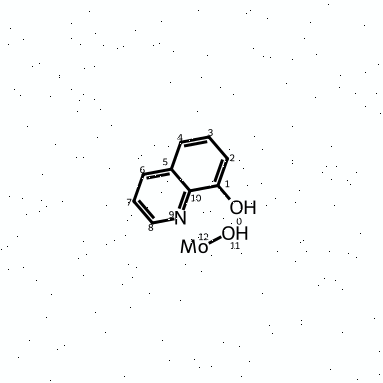 Oc1cccc2cccnc12.[OH][Mo]